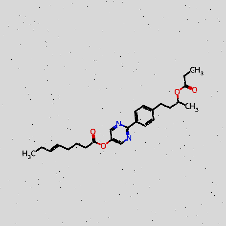 CCC=CCCCC(=O)Oc1cnc(-c2ccc(CCC(C)OC(=O)CC)cc2)nc1